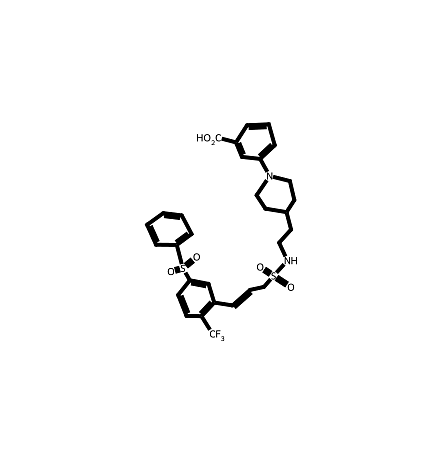 O=C(O)c1cccc(N2CCC(CCNS(=O)(=O)CC=Cc3cc(S(=O)(=O)c4ccccc4)ccc3C(F)(F)F)CC2)c1